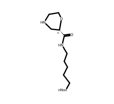 CCCCCCCCCCCCCCNC(=O)[C@@H]1CNCCO1